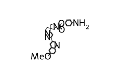 COc1ccc2ncc(-c3cc4n(n3)CCC43CCN(C(=O)Oc4ccc(N)cc4)C3)cc2c1